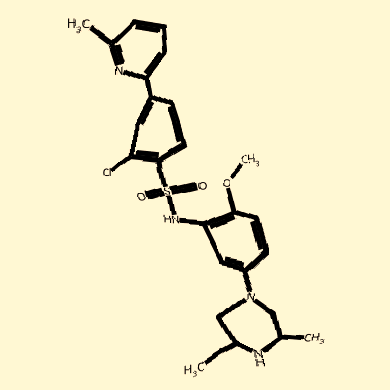 COc1ccc(N2CC(C)NC(C)C2)cc1NS(=O)(=O)c1ccc(-c2cccc(C)n2)cc1Cl